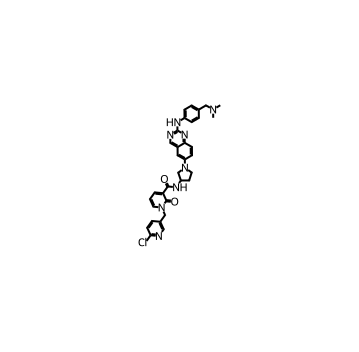 CN(C)Cc1ccc(Nc2ncc3cc(N4CCC(NC(=O)c5cccn(Cc6ccc(Cl)nc6)c5=O)C4)ccc3n2)cc1